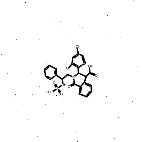 CS(=O)(=O)NC(CN1C(=O)c2ccccc2C(C(=O)O)C1c1ccc(Cl)cc1Cl)c1ccccc1